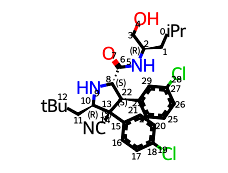 CC(C)C[C@H](CO)NC(=O)[C@H]1N[C@H](CC(C)(C)C)[C@@](C#N)(c2ccc(Cl)cc2)[C@@H]1c1cccc(Cl)c1